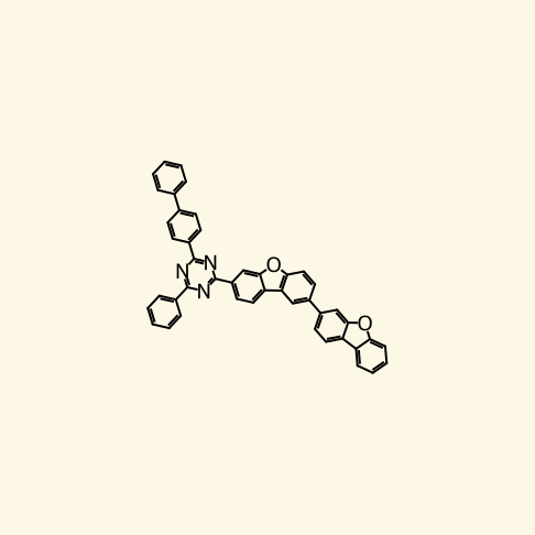 c1ccc(-c2ccc(-c3nc(-c4ccccc4)nc(-c4ccc5c(c4)oc4ccc(-c6ccc7c(c6)oc6ccccc67)cc45)n3)cc2)cc1